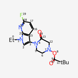 CCn1cc(N2CCN(OC(=O)C(C)(C)C)CC2=O)c2ccc(F)nc21